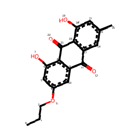 CCCOc1cc(O)c2c(c1)C(=O)c1cc(C)cc(O)c1C2=O